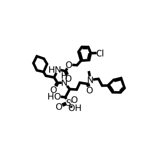 CN(CCc1ccccc1)C(=O)CCC(NC(=O)C(CC1CCCCC1)NC(=O)OCc1cccc(Cl)c1)C(O)S(=O)(=O)O